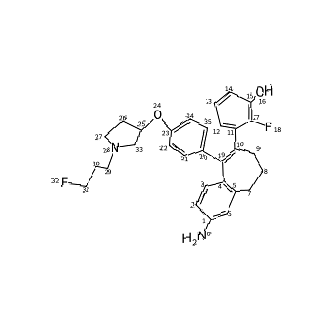 Nc1ccc2c(c1)CCCC(c1cccc(O)c1F)=C2c1ccc(OC2CCN(CCCF)C2)cc1